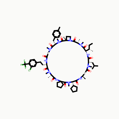 CC[C@H](C)[C@@H]1NC(=O)[C@H](CC(C)C)N(C)C(=O)C[C@@H](C)NC(=O)[C@H](C2CCCC2)N(C)C(=O)C2(CCCC2)NC(=O)[C@H](C)N(C)C(=O)[C@H](CCc2ccc(C(F)(F)F)c(Cl)c2)NC(=O)CN(C)C(=O)[C@H](Cc2ccc(C)cc2)N(C)C(=O)[C@@H]2CCN2C(=O)[C@H](C)N(C)C1=O